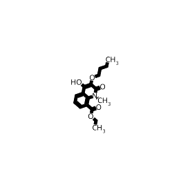 CCCCOc1c(O)c2cccc(C(=O)OCC)c2n(C)c1=O